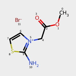 COC(=O)C[n+]1ccsc1N.[Br-]